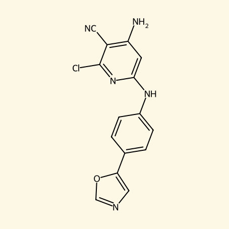 N#Cc1c(N)cc(Nc2ccc(-c3cnco3)cc2)nc1Cl